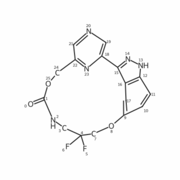 O=C1NCC(F)(F)COc2ccc3[nH]nc(c3c2)-c2cncc(n2)CO1